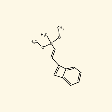 CO[Si](C)(C=CC1=Cc2ccccc21)OC